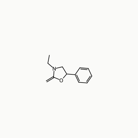 C=C1OC(c2ccccc2)CN1CC